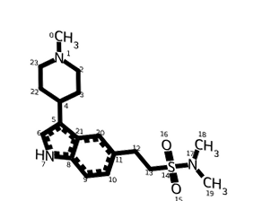 CN1CCC(c2c[nH]c3ccc(CCS(=O)(=O)N(C)C)cc23)CC1